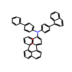 c1ccc(-c2ccc(N(c3ccc(-c4cccc5ccccc45)cc3)c3ccc(-c4cccc5cccc(-c6ccccc6)c45)cc3)cc2)cc1